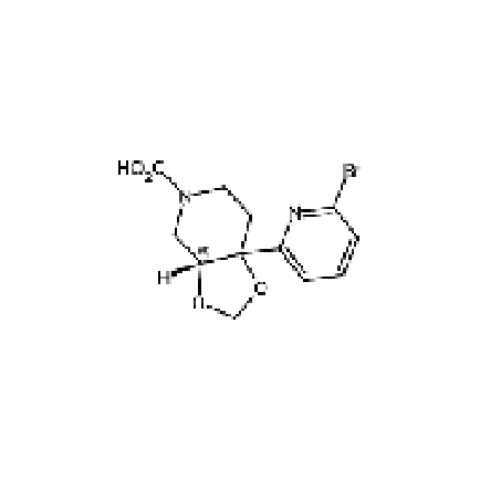 O=C(O)N1CCC2(c3cccc(Br)n3)OCO[C@@H]2C1